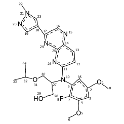 COc1cc(OC)c(F)c(N(c2ccc3ncc(-c4cnn(C)c4)nc3n2)C(CO)COC(C)C)c1